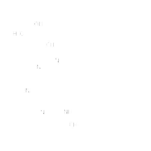 CNc1ncnc2c1c(-c1cccc(-c3ccccc3)c1)nn2CC(C)(C)O